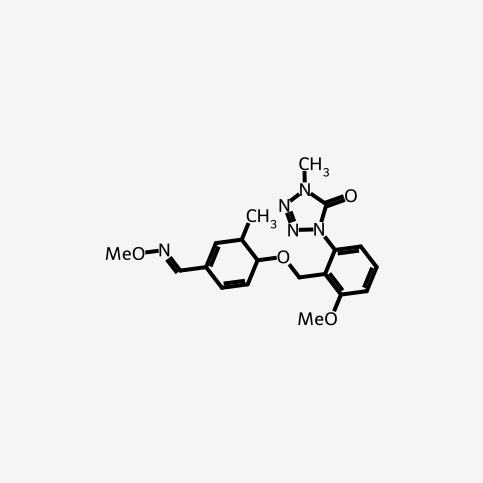 CON=CC1=CC(C)C(OCc2c(OC)cccc2-n2nnn(C)c2=O)C=C1